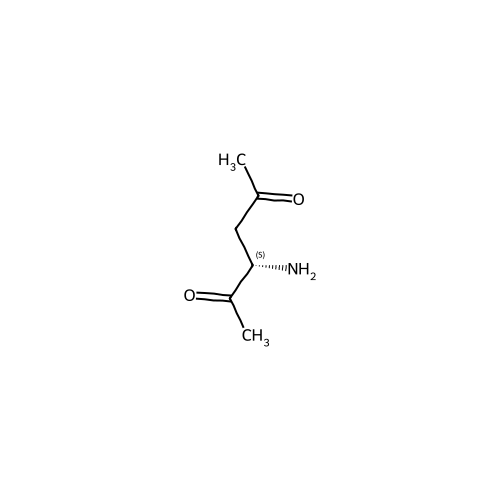 CC(=O)C[C@H](N)C(C)=O